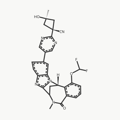 CN1C(=O)c2cccc(OC(F)F)c2[C@@H]2CC1c1nc3ccc(-c4cnc([C@]5(C#N)C[C@@](C)(O)C5)nc4)cc3n12